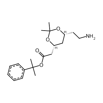 CC1(C)O[C@H](CCN)C[C@H](CC(=O)OC(C)(C)c2ccccc2)O1